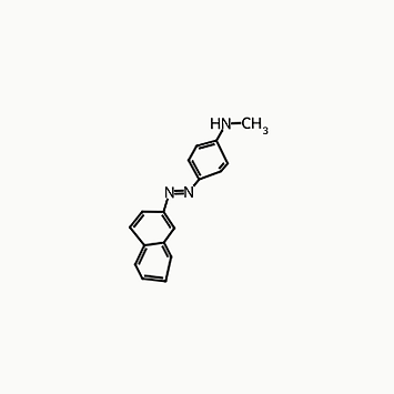 CNc1ccc(N=Nc2ccc3ccccc3c2)cc1